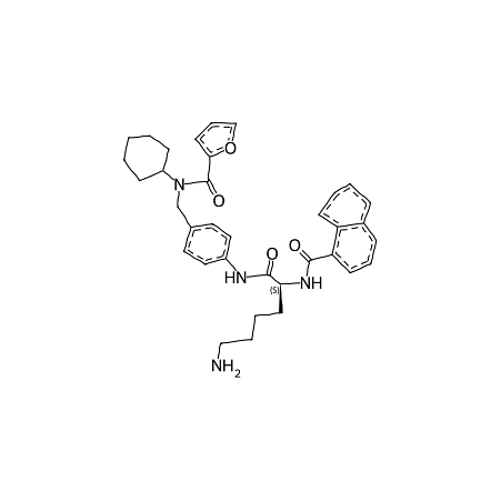 NCCCC[C@H](NC(=O)c1cccc2ccccc12)C(=O)Nc1ccc(CN(C(=O)c2ccco2)C2CCCCC2)cc1